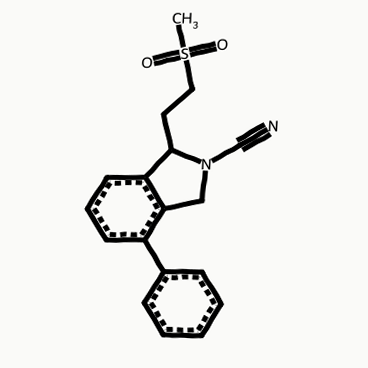 CS(=O)(=O)CCC1c2cccc(-c3ccccc3)c2CN1C#N